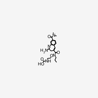 CCCN(OCCNC(=O)O)C(=O)C1=Cc2ccc(C(=O)N(C)C)cc2N=C(N)C1